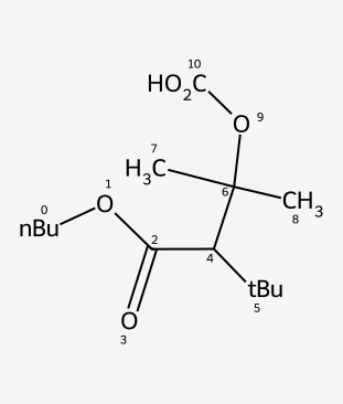 CCCCOC(=O)C(C(C)(C)C)C(C)(C)OC(=O)O